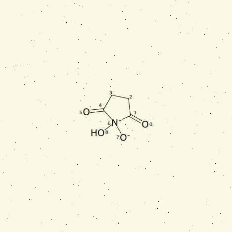 O=C1CCC(=O)[N+]1([O-])O